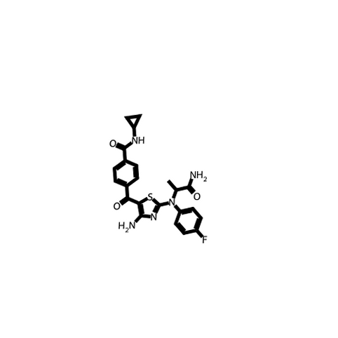 CC(C(N)=O)N(c1ccc(F)cc1)c1nc(N)c(C(=O)c2ccc(C(=O)NC3CC3)cc2)s1